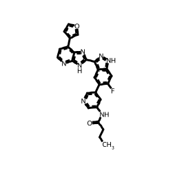 CCCC(=O)Nc1cncc(-c2cc3c(-c4nc5c(-c6ccoc6)ccnc5[nH]4)n[nH]c3cc2F)c1